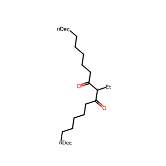 CCCCCCCCCCCCCCCC(=O)[C](CC)C(=O)CCCCCCCCCCCCCCC